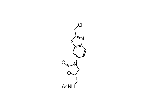 CC(=O)NC[C@H]1CN(c2ccc3nc(CCl)sc3c2)C(=O)O1